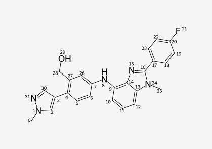 Cn1cc(-c2ccc(Nc3cccc4c3nc(-c3ccc(F)cc3)n4C)cc2CO)cn1